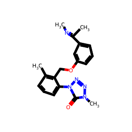 CN=C(C)c1cccc(OCc2c(C)cccc2-n2nnn(C)c2=O)c1